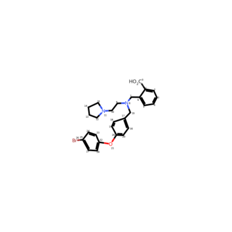 O=C(O)c1ccccc1CN(CCN1CCCC1)Cc1ccc(Oc2ccc(Br)cc2)cc1